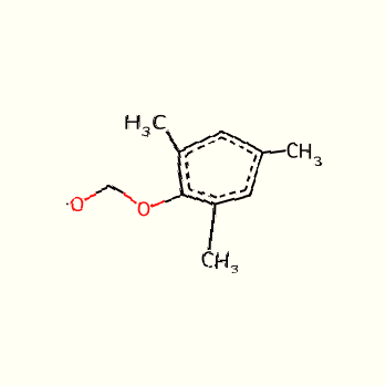 Cc1cc(C)c(OC[O])c(C)c1